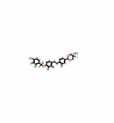 CCCC1(F)COC(c2ccc(CCc3ccc(OC(F)(F)c4ccc(CC)c(F)c4F)c(F)c3F)c(F)c2)OC1